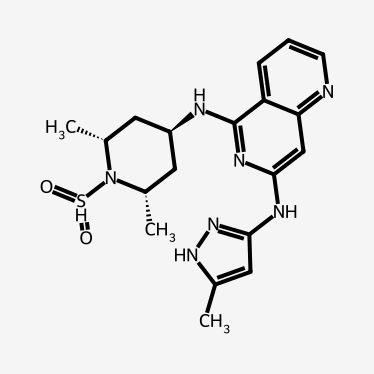 Cc1cc(Nc2cc3ncccc3c(N[C@@H]3C[C@@H](C)N([SH](=O)=O)[C@@H](C)C3)n2)n[nH]1